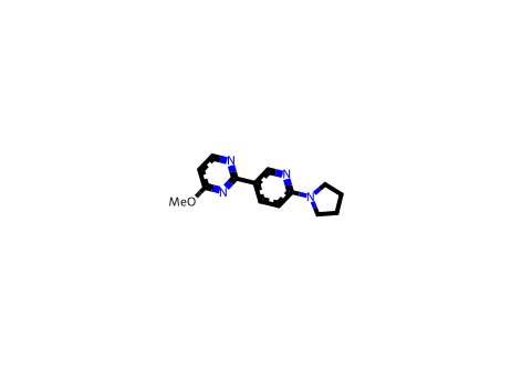 COc1ccnc(-c2ccc(N3CCCC3)nc2)n1